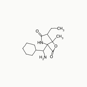 CCC1C(=O)NC2(C(N)C3CCCCC3)C(=O)OC12C